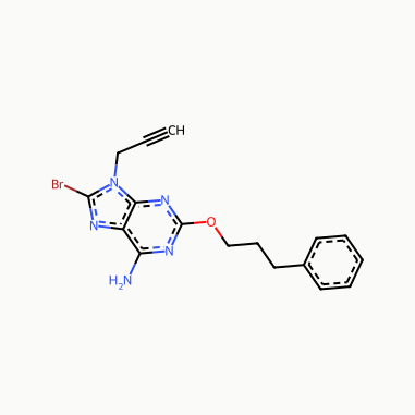 C#CCn1c(Br)nc2c(N)nc(OCCCc3ccccc3)nc21